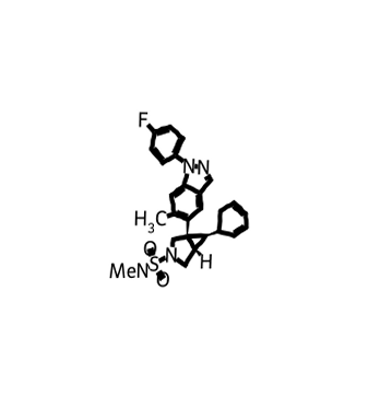 CNS(=O)(=O)N1C[C@H]2[C@H](C3C=CC=CC3)[C@@]2(c2cc3cnn(-c4ccc(F)cc4)c3cc2C)C1